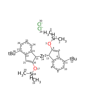 C[SiH](C)OC1=Cc2c(cccc2C(C)(C)C)[CH]1[Zr+2][CH]1C(O[SiH](C)C)=Cc2c1cccc2C(C)(C)C.[Cl-].[Cl-]